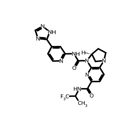 CC(NC(=O)c1ccc2c(n1)N(C(=O)Nc1cc(-c3ncn[nH]3)ccn1)[C@H]1CCN2C1)C(F)(F)F